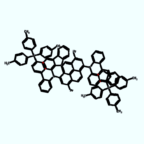 Cc1ccc([Si](c2ccc(C)cc2)(c2ccc(C)cc2)c2ccc(-c3ccccc3N(c3cc(C(C)C)c4ccc5c(N(c6ccccc6-c6ccc([Si](c7ccc(C)cc7)(c7ccc(C)cc7)c7ccc(C)cc7)cc6)c6cccc7c6oc6ccccc67)cc(C(C)C)c6ccc3c4c65)c3cccc4c3oc3ccccc34)cc2)cc1